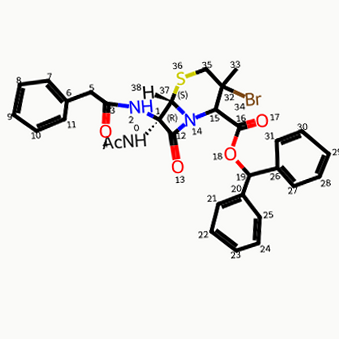 CC(=O)N[C@@]1(NC(=O)Cc2ccccc2)C(=O)N2C(C(=O)OC(c3ccccc3)c3ccccc3)C(C)(Br)CS[C@H]21